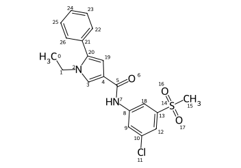 CCn1cc(C(=O)Nc2cc(Cl)cc(S(C)(=O)=O)c2)cc1-c1ccccc1